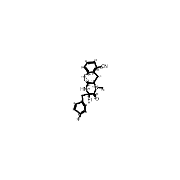 CCC1(Cc2ccc(F)cc2)NC(=O)C(Cc2c(F)cccc2C#N)N(C)C1=O